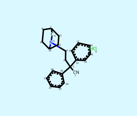 Cl.N#CC(CCN1CC2CCC1CC2)(c1ccccc1)c1ccccc1